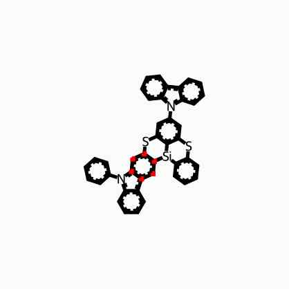 c1ccc(-n2c3ccccc3c3cc([Si]45c6ccccc6Sc6cc(-n7c8ccccc8c8ccccc87)cc(c64)Sc4ccccc45)ccc32)cc1